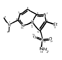 CCc1nc2ccc(N(C)C)nn2c1S(N)(=O)=O